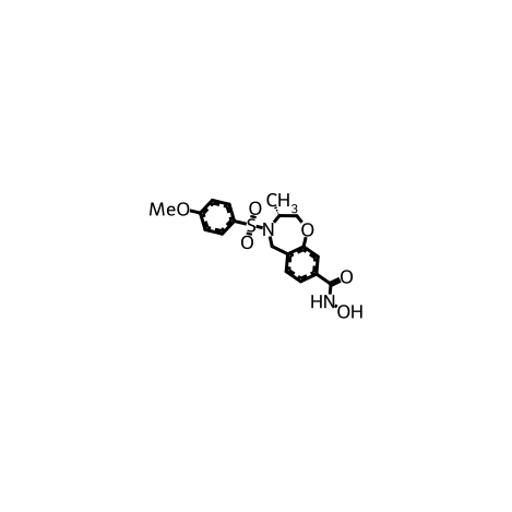 COc1ccc(S(=O)(=O)N2Cc3ccc(C(=O)NO)cc3OC[C@H]2C)cc1